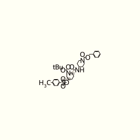 Cc1ccc(S(=O)(=O)O[C@H]2CC[C@@H](C(=O)NC3CCN(C(=O)OCc4ccccc4)CC3)N(C(=O)OC(C)(C)C)C2)cc1